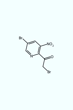 O=C(CBr)c1ncc(Br)cc1[N+](=O)[O-]